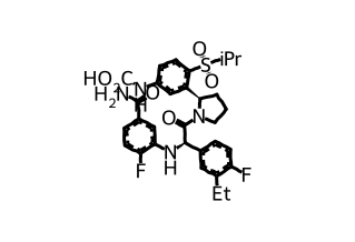 CCc1cc([C@@H](Nc2cc(C(N)=O)ccc2F)C(=O)N2CCC[C@@H]2c2cc(NC(=O)O)ccc2S(=O)(=O)C(C)C)ccc1F